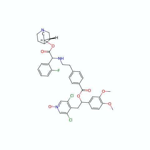 COc1ccc(C(Cc2c(Cl)c[n+]([O-])cc2Cl)OC(=O)c2ccc(CCNC(C(=O)O[C@H]3CN4CCC3CC4)c3ccccc3F)cc2)cc1OC